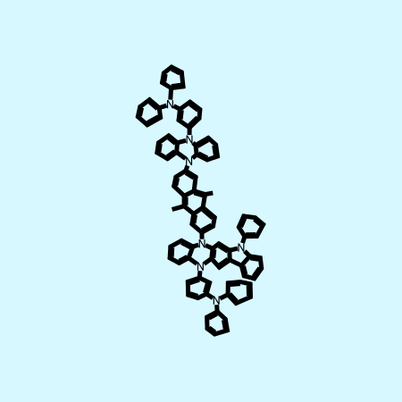 Cc1c2ccc(N3c4ccccc4N(c4cccc(N(c5ccccc5)c5ccccc5)c4)c4cc5c6ccccc6n(-c6ccccc6)c5cc43)cc2c(C)c2ccc(N3c4ccccc4N(c4cccc(N(c5ccccc5)c5ccccc5)c4)c4ccccc43)cc12